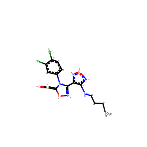 O=C=C1ON=C(c2nonc2NCCCS(=O)(=O)O)N1c1ccc(Br)c(F)c1